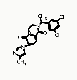 Cc1cn(-c2ccc3n(c2=O)CCN(C(C)c2cc(Cl)cc(Cl)c2)C3=O)cn1